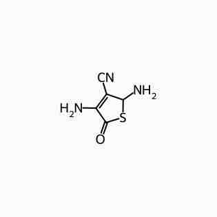 N#CC1=C(N)C(=O)SC1N